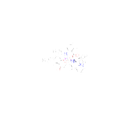 Cc1cc(C(C)Nc2ccccc2C(=O)OC(C)(C)C)c2oc(-c3cc4cccnc4cn3)cc(=O)c2c1